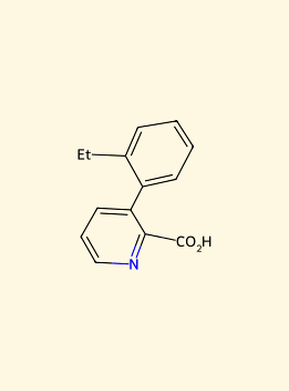 CCc1ccccc1-c1cccnc1C(=O)O